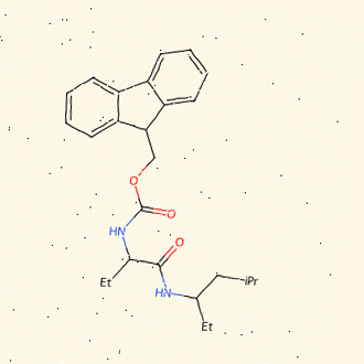 CCC(CC(C)C)NC(=O)C(CC)NC(=O)OCC1c2ccccc2-c2ccccc21